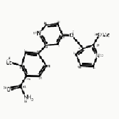 CCc1cc(-c2cc(Oc3cccnc3OC)ccn2)ccc1C(N)=O